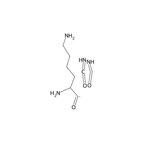 N=C=O.N=C=O.NCCCCC(N)[C]=O